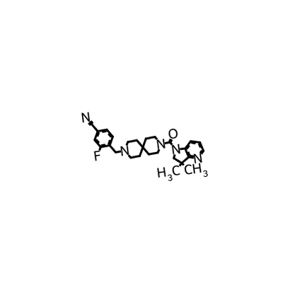 CC1(C)CN(C(=O)N2CCC3(CCN(Cc4ccc(C#N)cc4F)CC3)CC2)c2cccnc21